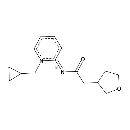 O=C(CC1CCOC1)/N=c1\ccccn1CC1CC1